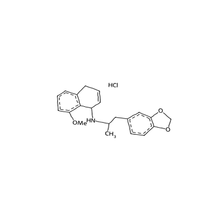 COc1cccc2c1C(NC(C)Cc1ccc3c(c1)OCO3)C=CC2.Cl